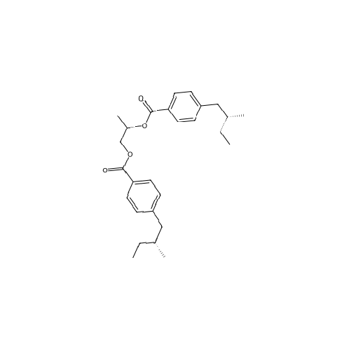 CC[C@@H](C)Cc1ccc(C(=O)OCC(C)OC(=O)c2ccc(C[C@H](C)CC)cc2)cc1